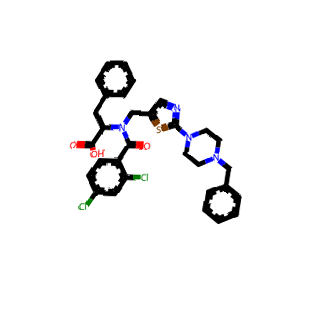 O=C(O)C(Cc1ccccc1)N(Cc1cnc(N2CCN(Cc3ccccc3)CC2)s1)C(=O)c1ccc(Cl)cc1Cl